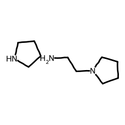 C1CCNC1.NCCN1CCCC1